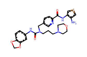 Nc1cscc1NC(=O)c1ccc(CN(CCCN2CCOCC2)C(=O)Nc2ccc3c(c2)OCO3)cn1